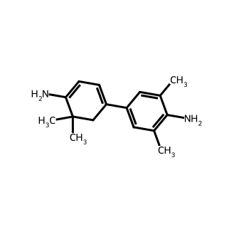 Cc1cc(C2=CC=C(N)C(C)(C)C2)cc(C)c1N